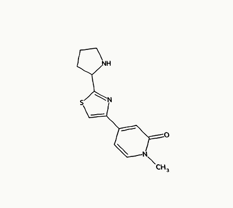 Cn1ccc(-c2csc(C3CCCN3)n2)cc1=O